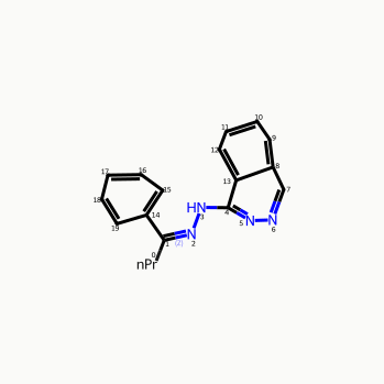 CCC/C(=N/Nc1nncc2ccccc12)c1ccccc1